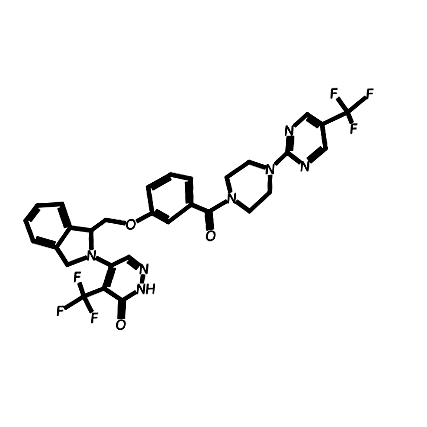 O=C(c1cccc(OCC2c3ccccc3CN2c2cn[nH]c(=O)c2C(F)(F)F)c1)N1CCN(c2ncc(C(F)(F)F)cn2)CC1